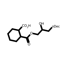 CCCCCCCCCCCC(O)COC(=O)C1CCCCC1C(=O)O